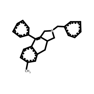 Cc1ccc2c(c1)CC1CN(Cc3ccccc3)CC1=C2c1ccccc1